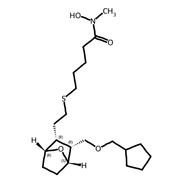 CN(O)C(=O)CCCCSCC[C@@H]1[C@H](COCC2CCCC2)[C@@H]2CC[C@H]1O2